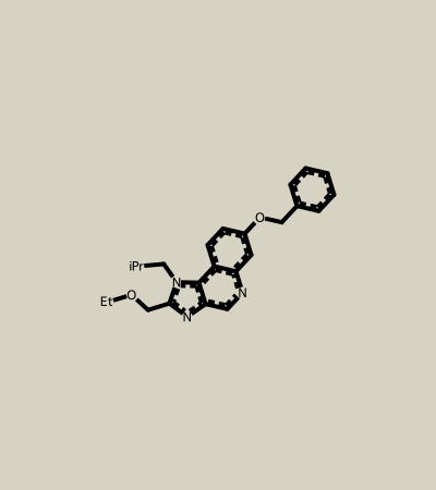 CCOCc1nc2cnc3cc(OCc4ccccc4)ccc3c2n1CC(C)C